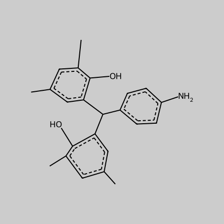 Cc1cc(C)c(O)c(C(c2ccc(N)cc2)c2cc(C)cc(C)c2O)c1